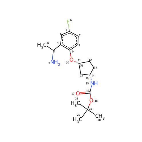 CC(N)c1cc(F)ccc1O[C@@H]1CC[C@H](NC(=O)OC(C)(C)C)C1